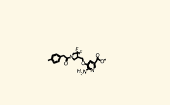 COC(=O)c1cnc(N)c(OCC2CN(C(=O)Cc3ccc(C)cc3)CC2(F)F)c1